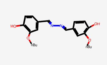 CCCCOc1cc(C=NN=Cc2ccc(O)c(OCCCC)c2)ccc1O